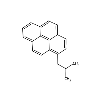 C[C](C)Cc1ccc2ccc3cccc4ccc1c2c34